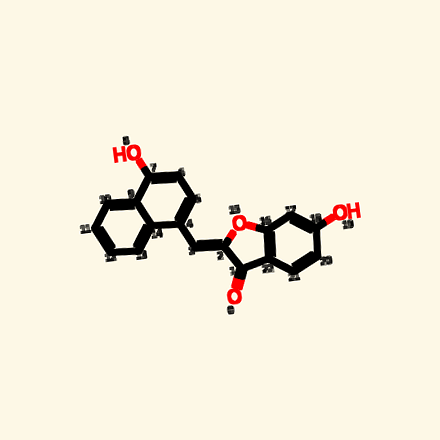 O=C1/C(=C/c2ccc(O)c3ccccc23)Oc2cc(O)ccc21